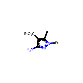 CCOC(=O)c1c(N)nn(CC)c1C